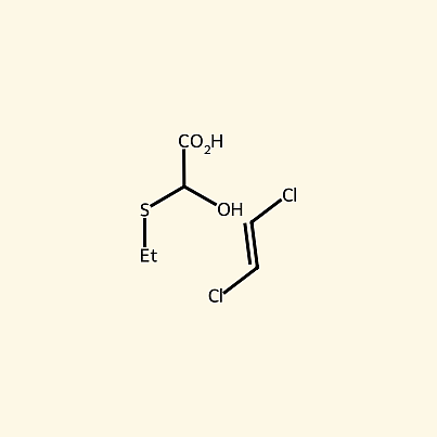 CCSC(O)C(=O)O.ClC=CCl